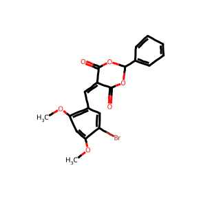 COc1cc(OC)c(C=C2C(=O)OC(c3ccccc3)OC2=O)cc1Br